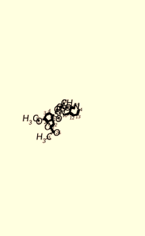 COc1ccc(S(=O)(=O)N(Cc2cccnc2)S(C)(=O)=O)c2cc(C(C)=O)oc12